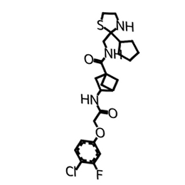 O=C(COc1ccc(Cl)c(F)c1)NC1CC2(C(=O)NCC3(C4CCCC4)NCCS3)CC1C2